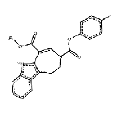 Cc1ccc(OC(=O)N2C=C(C(=O)OC(C)C)c3[nH]c4ccccc4c3CC2)cc1